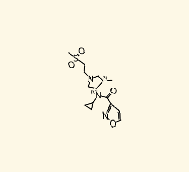 C[C@@H]1CN(CCS(C)(=O)=O)C[C@H]1N(C(=O)c1ccon1)C1CC1